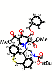 COC(=O)c1cn([C@@H](CN(C)C(=O)OC(C)(C)C)C2c3ccccc3CSc3ccccc32)c(C(=O)OC)c(OCc2ccccc2)c1=O